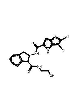 O=C(N[C@@H]1Cc2ccccc2[C@@H]1C(=O)NCCO)c1cc2sc(Cl)c(Cl)c2[nH]1